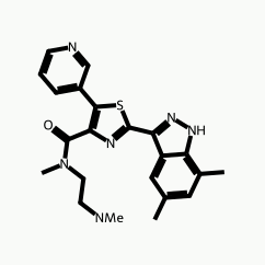 CNCCN(C)C(=O)c1nc(-c2n[nH]c3c(C)cc(C)cc23)sc1-c1cccnc1